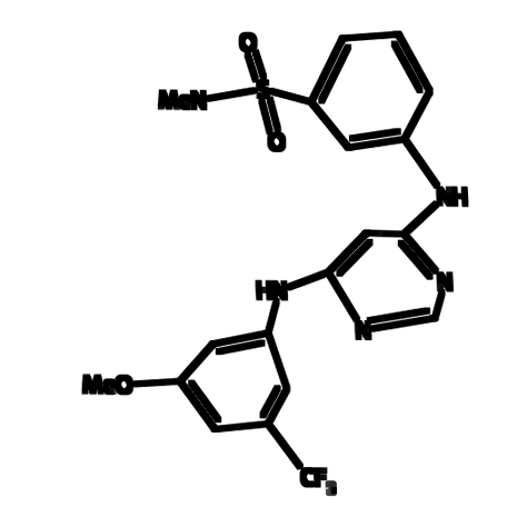 CNS(=O)(=O)c1cccc(Nc2cc(Nc3cc(OC)cc(C(F)(F)F)c3)ncn2)c1